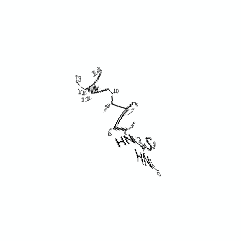 CNC(=S)NC/C=C(\C)CCC=C(C)C